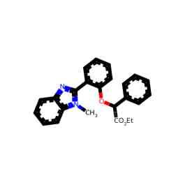 CCOC(=O)C(Oc1ccccc1-c1nc2ccccc2n1C)c1ccccc1